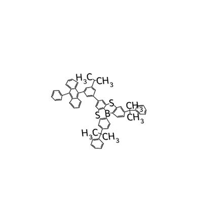 CC(C)c1cc(-c2cc3c4c(c2)Sc2cc(C(C)(C)c5ccccc5)ccc2B4c2ccc(C(C)(C)c4ccccc4)cc2S3)cc(-c2c3ccccc3c(-c3ccccc3)c3ccccc23)c1